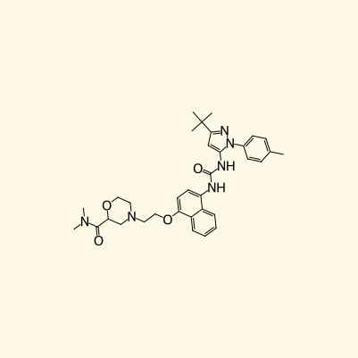 Cc1ccc(-n2nc(C(C)(C)C)cc2NC(=O)Nc2ccc(OCCN3CCOC(C(=O)N(C)C)C3)c3ccccc23)cc1